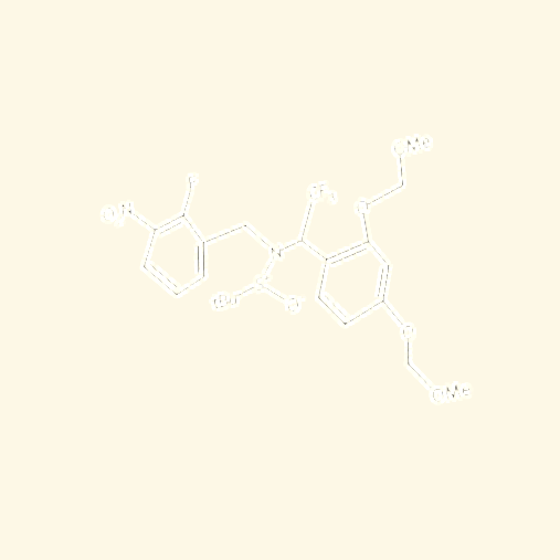 COCOc1ccc(C(N(Cc2cccc([N+](=O)[O-])c2F)[S+]([O-])C(C)(C)C)C(F)(F)F)c(OCOC)c1